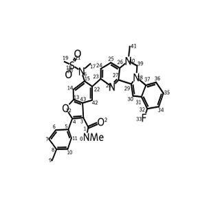 CNC(=O)c1c(-c2ccc(C)cc2)oc2cc(N(C)S(C)(=O)=O)c(-c3ccc4c(n3)-c3cc5c(F)cccc5n3CN4C)cc12